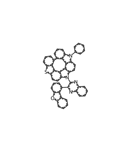 c1ccc(-n2c3cccc4c5cccc6sc7ccc8c(c7c65)c5c(c43)c2ccc5n8-c2nc3ccccc3nc2-c2cccc3oc4ccccc4c23)cc1